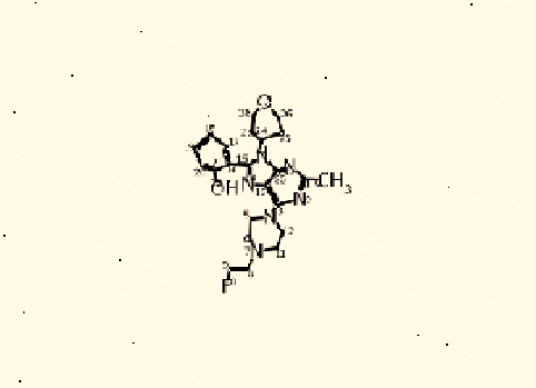 Cc1nc(N2CCN(CCF)CC2)c2nc(-c3ccccc3O)n(C3CCOCC3)c2n1